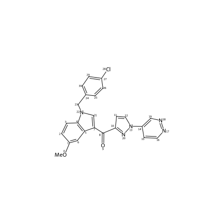 COc1ccc2c(c1)c(C(=O)c1ccn(-c3ccnnc3)n1)cn2Cc1ccc(Cl)cc1